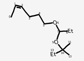 C/C=C\CCCOC(CC)OC(C)(C)CC